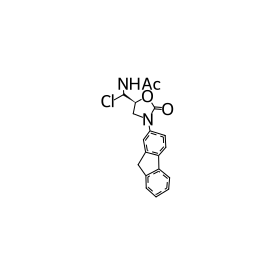 CC(=O)NC(Cl)[C@@H]1CN(c2ccc3c(c2)Cc2ccccc2-3)C(=O)O1